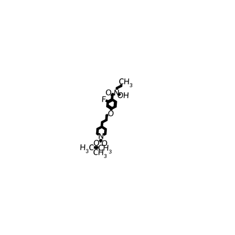 CCCN(O)C(=O)c1ccc(OCCCC2CCN(C(=O)OC(C)(C)C)CC2)cc1F